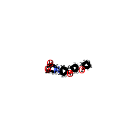 c1ccc(Oc2cccc(Oc3ccc(N(CC4CO4)CC4CO4)cc3)c2)cc1